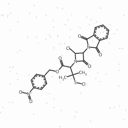 CC(C)(SCl)C(C(=O)OCc1ccc([N+](=O)[O-])cc1)N1C(=O)C(N2C(=O)c3ccccc3C2=O)C1Cl